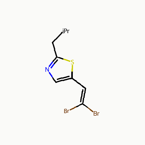 CC(C)Cc1ncc(C=C(Br)Br)s1